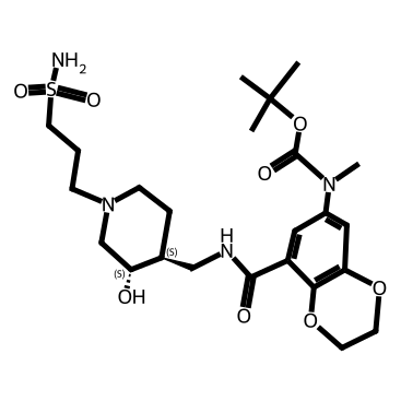 CN(C(=O)OC(C)(C)C)c1cc2c(c(C(=O)NC[C@@H]3CCN(CCCS(N)(=O)=O)C[C@H]3O)c1)OCCO2